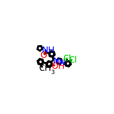 Cc1ccccc1-c1ccc(O)c(C(c2cccc(C(=O)NC3CCCC3)c2)N2CCN(c3cccc(Cl)c3Cl)CC2)c1